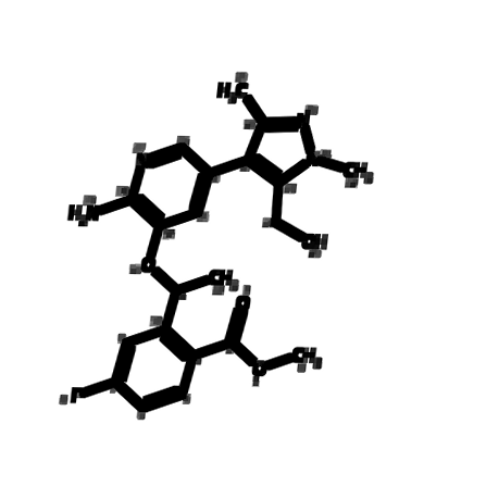 COC(=O)c1ccc(F)cc1C(C)Oc1cc(-c2c(C)nn(C)c2CO)cnc1N